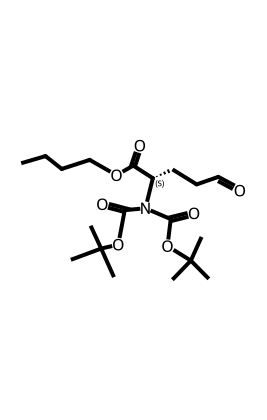 CCCCOC(=O)[C@H](CCC=O)N(C(=O)OC(C)(C)C)C(=O)OC(C)(C)C